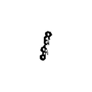 c1ccc2cn3nc(-c4ccc5c6ccccc6nn5c4)cc3cc2c1